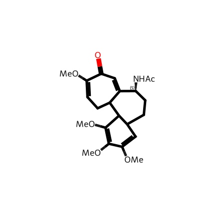 COC1=CCC2C(=CC1=O)[C@@H](NC(C)=O)CCC1C=C(OC)C(OC)=C(OC)C12